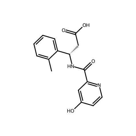 Cc1ccccc1[C@H](CC(=O)O)NC(=O)c1cc(O)ccn1